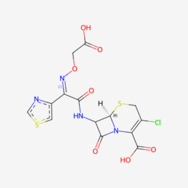 O=C(O)CO/N=C(\C(=O)NC1C(=O)N2C(C(=O)O)=C(Cl)CS[C@H]12)c1cscn1